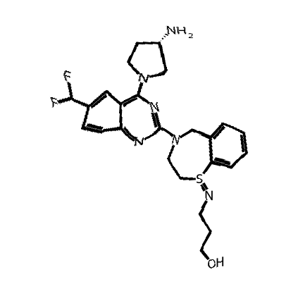 N[C@H]1CCN(c2nc(N3CCS(=NCCCO)c4ccccc4C3)nc3ccc(C(F)F)cc23)C1